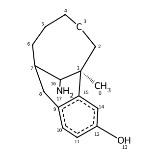 C[C@]12CCCCCC(Cc3ccc(O)cc31)C2N